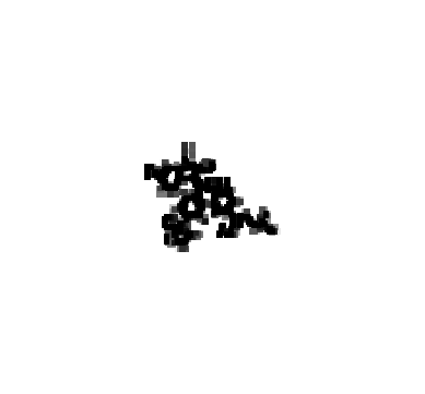 CC(=O)N(CCN(C)C)c1ccc(N/C(=C2\C(=O)Nc3cc(F)ccc32)c2ccc(N3CCOC3=O)cc2)cc1